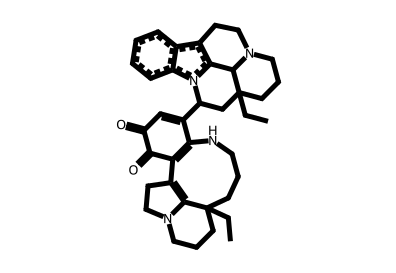 CCC12CCCNC3=C(C(=O)C(=O)C=C3C3CC4(CC)CCCN5CCc6c(n3c3ccccc63)C54)C3=C1N(CCC2)CC3